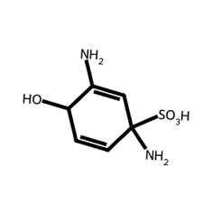 NC1=CC(N)(S(=O)(=O)O)C=CC1O